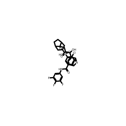 O=C(Nc1cc(F)c(F)c(F)c1)c1ccc(Cl)c(S(=O)(=O)C2CC3CCC(C2)C3(O)CC(O)C(O)c2cccnc2)c1